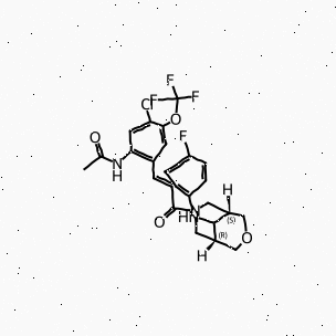 CC(=O)Nc1cc(Cl)c(OC(F)(F)F)cc1C=CC(=O)N1C[C@H]2COC[C@@H](C1)C2Nc1ccc(F)cc1